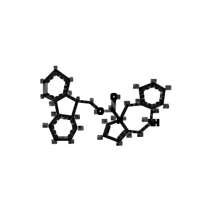 O=C(OCC1c2ccccc2-c2ccccc21)[N+]12C=CC=C1CNc1ccccc1C2